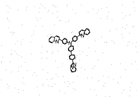 C1=CC2C=CC(c3ccc(N(c4ccc(-c5ccc(-c6cn7ccccc7n6)cc5)cc4)c4ccc(-c5ccc6ccccc6n5)cc4)cc3)=NC2C=C1